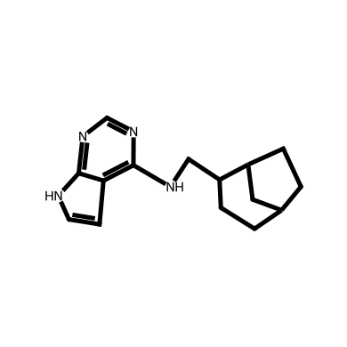 c1nc(NCC2CCC3CCC2C3)c2cc[nH]c2n1